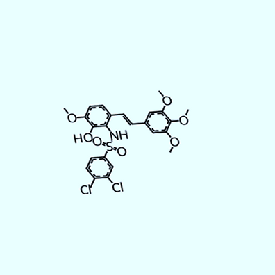 COc1ccc(C=Cc2cc(OC)c(OC)c(OC)c2)c(NS(=O)(=O)c2ccc(Cl)c(Cl)c2)c1O